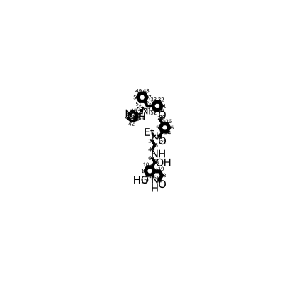 CCN(CCCNC[C@H](O)c1ccc(O)c2[nH]c(=O)ccc12)C(=O)c1cccc(COc2cccc([C@@H](NO[C@H]3CN4CCC3CC4)c3ccccc3)c2)c1